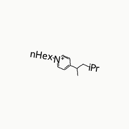 CCCCCC[n+]1ccc(C(C)CC(C)C)cc1